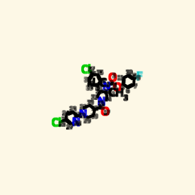 CN(C(=O)Oc1ccc(F)cc1)[C@@]1(C)CN(C(=O)C2CCN(c3ccc(Cl)cn3)CC2)C[C@@H]1c1ccc(Cl)cc1